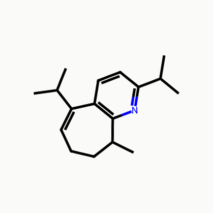 CC(C)C1=CCCC(C)c2nc(C(C)C)ccc21